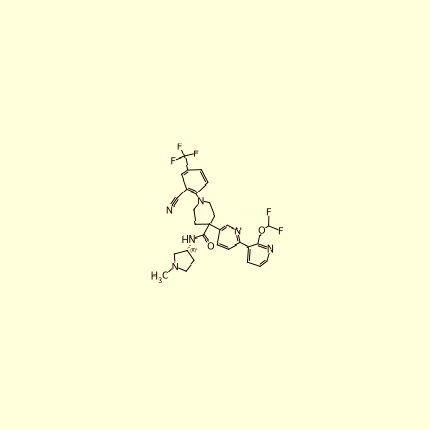 CN1CC[C@@H](NC(=O)C2(c3ccc(-c4cccnc4OC(F)F)nc3)CCN(c3ccc(C(F)(F)F)cc3C#N)CC2)C1